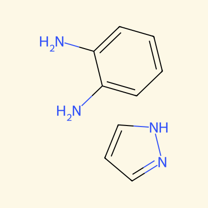 Nc1ccccc1N.c1cn[nH]c1